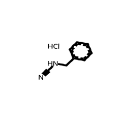 Cl.N#CNCc1ccccc1